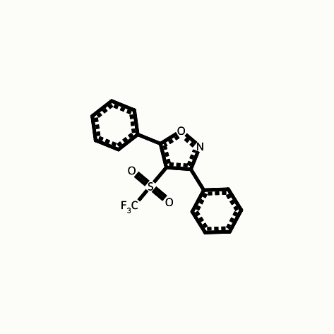 O=S(=O)(c1c(-c2ccccc2)noc1-c1ccccc1)C(F)(F)F